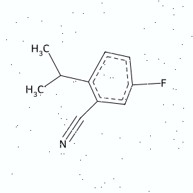 CC(C)c1ccc(F)cc1C#N